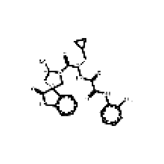 N#C[C@@H]1C[C@@]2(CN1C(=O)[C@H](CC1CC1)NC(=O)C(=O)Nc1cccnc1C(F)(F)F)C(=O)Nc1ccccc12